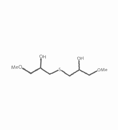 COCC(O)CSCC(O)COC